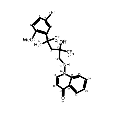 COc1ccc(Br)cc1C(C)(C)CC(O)(CNn1ccc(=O)c2ccccc21)C(F)(F)F